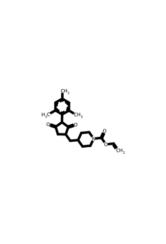 C=COC(=O)N1CCC(CC2CC(=O)C(c3c(C)cc(C)cc3C)C2=O)CC1